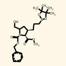 COC(=O)[C@@H]1[C@H](CCCB2OC(C)(C)C(C)(C)O2)CC(CO)N1C(=O)OCc1ccccc1